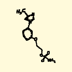 Cc1cn(-c2cccc(OCCOS(N)(=O)=O)c2)cn1